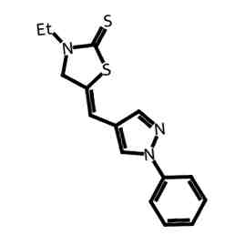 CCN1C/C(=C/c2cnn(-c3ccccc3)c2)SC1=S